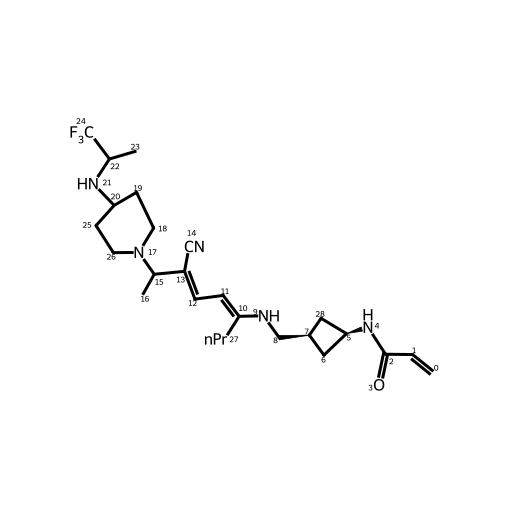 C=CC(=O)N[C@H]1C[C@@H](CN/C(=C/C=C(\C#N)C(C)N2CCC(NC(C)C(F)(F)F)CC2)CCC)C1